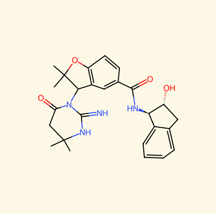 CC1(C)CC(=O)N(C2c3cc(C(=O)N[C@@H]4c5ccccc5C[C@H]4O)ccc3OC2(C)C)C(=N)N1